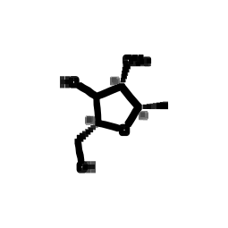 CO[C@H]1C(O)[C@@H](CO)O[C@H]1C